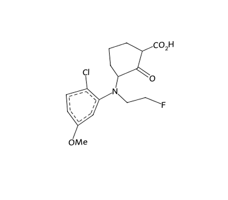 COc1ccc(Cl)c(N(CCF)C2CCCC(C(=O)O)C2=O)c1